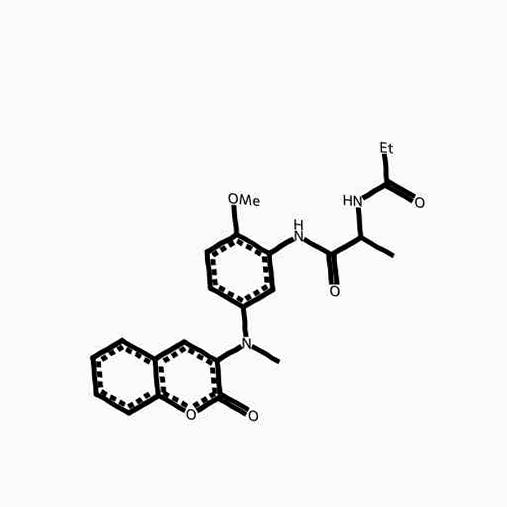 CCC(=O)NC(C)C(=O)Nc1cc(N(C)c2cc3ccccc3oc2=O)ccc1OC